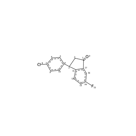 O=C1CC(c2ccc(Cl)cc2)c2ccc(F)cc21